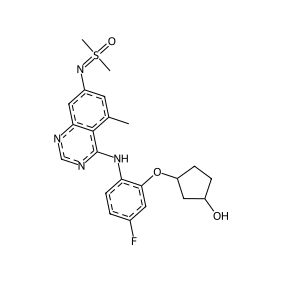 Cc1cc(N=S(C)(C)=O)cc2ncnc(Nc3ccc(F)cc3OC3CCC(O)C3)c12